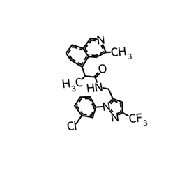 Cc1cc2c(C(C)C(=O)NCc3cc(C(F)(F)F)nn3-c3cccc(Cl)c3)cccc2cn1